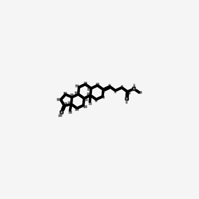 COC(=O)CC/C=C1\CCC2(C)C(CCC3C4CCC(=O)C4(C)CCC32)C1